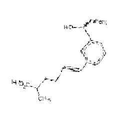 CCCCC[C@H](O)c1cccc(C=CCCC(C)C(=O)O)c1